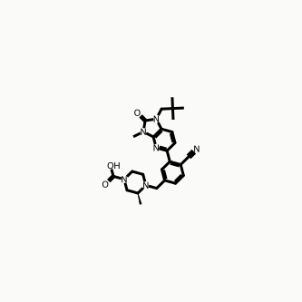 C[C@H]1CN(C(=O)O)CCN1Cc1ccc(C#N)c(-c2ccc3c(n2)n(C)c(=O)n3CC(C)(C)C)c1